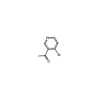 CC(=O)c1cnccc1Br